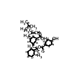 CC(C)(OC(=S)c1ccc(O)cc1)c1ccccc1.CC(C)C.CC(C)C.OC(=S)c1ccccc1